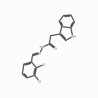 O=C(Cc1c[nH]c2ccccc12)N/N=C/c1cccc(Cl)c1Cl